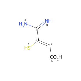 N=C(N)/C(S)=C/C(=O)O